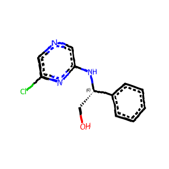 OC[C@H](Nc1cncc(Cl)n1)c1ccccc1